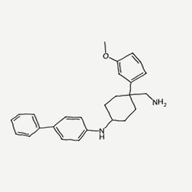 COc1cccc(C2(CN)CCC(Nc3ccc(-c4ccccc4)cc3)CC2)c1